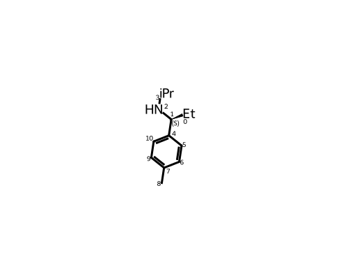 CC[C@H](NC(C)C)c1ccc(C)cc1